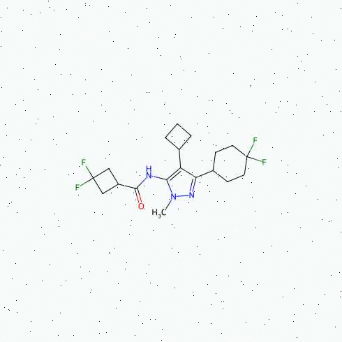 Cn1nc(C2CCC(F)(F)CC2)c(C2CCC2)c1NC(=O)C1CC(F)(F)C1